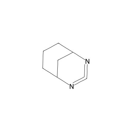 C1=NC2CCCC(C2)N=1